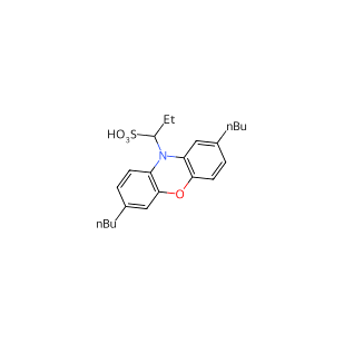 CCCCc1ccc2c(c1)Oc1ccc(CCCC)cc1N2C(CC)S(=O)(=O)O